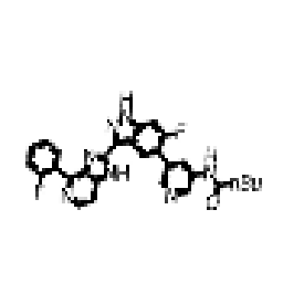 CCCCC(=O)Nc1cncc(-c2cc3c(-c4nc5c(-c6ccccc6F)nccc5[nH]4)n[nH]c3cc2F)c1